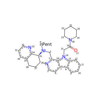 CCCCCN(Cc1nccc2c3ccccc3n(CC(=O)N3CCCCC3)c12)[C@H]1CCCc2cccnc21